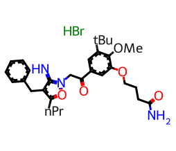 Br.CCCc1on(CC(=O)c2cc(OCCCC(N)=O)c(OC)c(C(C)(C)C)c2)c(=N)c1Cc1ccccc1